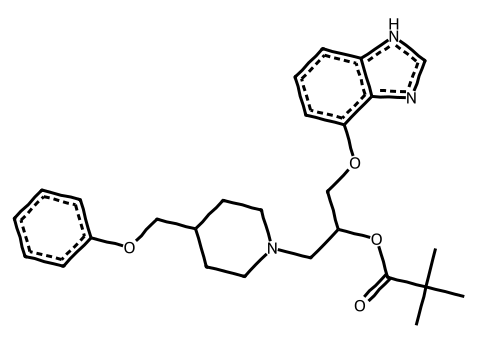 CC(C)(C)C(=O)OC(COc1cccc2[nH]cnc12)CN1CCC(COc2ccccc2)CC1